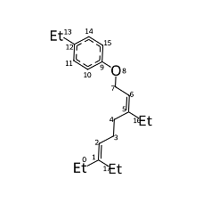 CCC(=CCCC(=CCOc1ccc(CC)cc1)CC)CC